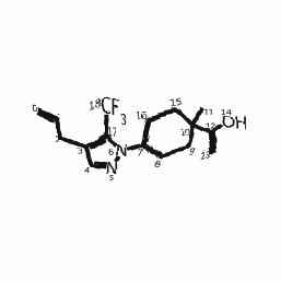 C=CCc1cnn(C2CCC(C)(C(=C)O)CC2)c1C(F)(F)F